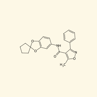 Cc1onc(-c2ccccc2)c1C(=O)Nc1ccc2c(c1)OC1(CCCC1)O2